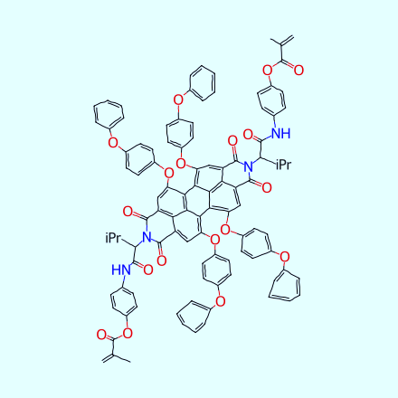 C=C(C)C(=O)Oc1ccc(NC(=O)C(C(C)C)N2C(=O)c3cc(Oc4ccc(Oc5ccccc5)cc4)c4c5c(Oc6ccc(Oc7ccccc7)cc6)cc6c7c(cc(Oc8ccc(Oc9ccccc9)cc8)c(c8c(Oc9ccc(Oc%10ccccc%10)cc9)cc(c3c48)C2=O)c75)C(=O)N(C(C(=O)Nc2ccc(OC(=O)C(=C)C)cc2)C(C)C)C6=O)cc1